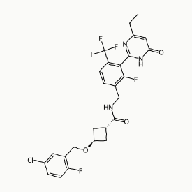 CCc1cc(=O)[nH]c(-c2c(C(F)(F)F)ccc(CNC(=O)[C@H]3C[C@H](OCc4cc(Cl)ccc4F)C3)c2F)n1